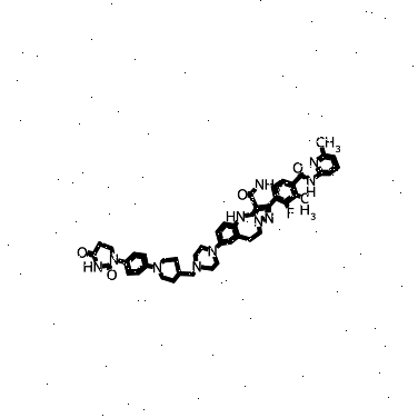 Cc1cccc(NC(=O)c2ccc(-c3nn4c(c3C(N)=O)Nc3ccc(N5CCN(CC6CCN(c7ccc(N8CCC(=O)NC8=O)cc7)CC6)CC5)cc3CC4)c(F)c2C)n1